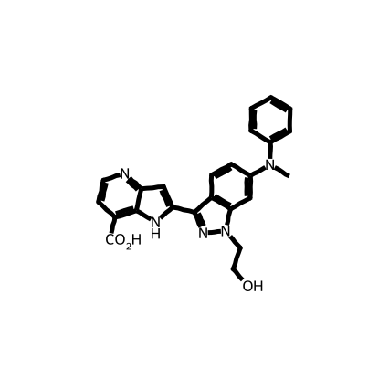 CN(c1ccccc1)c1ccc2c(-c3cc4nccc(C(=O)O)c4[nH]3)nn(CCO)c2c1